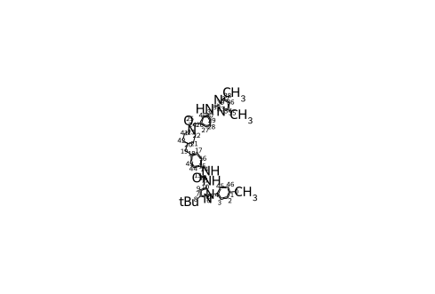 Cc1ccc(-n2nc(C(C)(C)C)cc2NC(=O)Nc2ccc(CC3CCN(C(=O)c4cccc(Nc5nc(C)cc(C)n5)c4)CC3)cc2)cc1